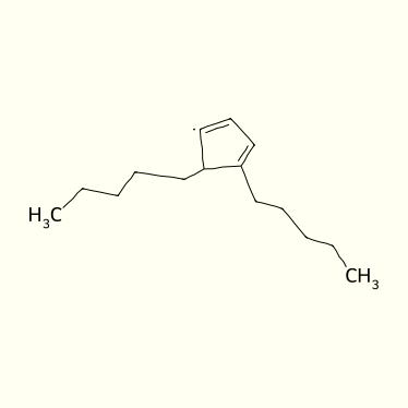 CCCCCC1=CC=[C]C1CCCCC